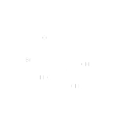 CC(C)(C)c1ccoc1Br